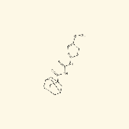 COc1ccc(NC(=S)NC(=O)C23CC4CC(CC(C4)C2)C3)cc1